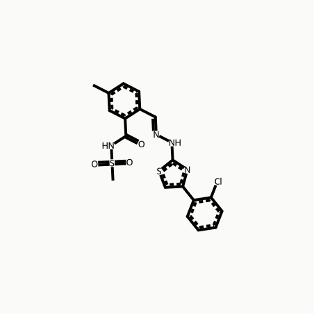 Cc1ccc(C=NNc2nc(-c3ccccc3Cl)cs2)c(C(=O)NS(C)(=O)=O)c1